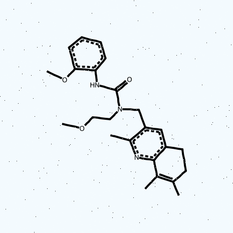 COCCN(Cc1cc2c(nc1C)C(C)=C(C)CC2)C(=O)Nc1ccccc1OC